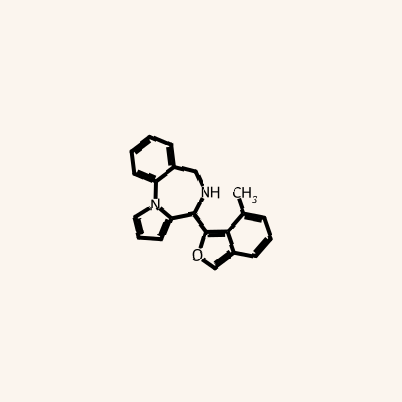 Cc1cccc2coc(C3NCc4ccccc4-n4cccc43)c12